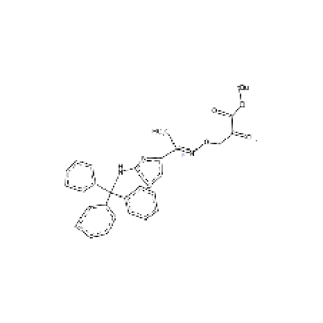 C=C(CO/N=C(\C(=O)O)c1csc(NC(c2ccccc2)(c2ccccc2)c2ccccc2)n1)C(=O)OC(C)(C)C